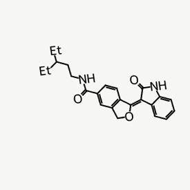 CCC(CC)CCNC(=O)c1ccc2c(c1)CO/C2=C1/C(=O)Nc2ccccc21